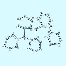 c1ccc(B2c3ccccc3-n3c4c2cccc4c2cccc(-c4ccccc4)c23)cc1